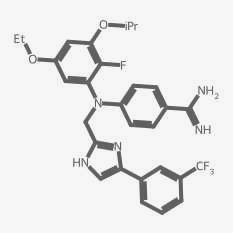 CCOc1cc(OC(C)C)c(F)c(N(Cc2nc(-c3cccc(C(F)(F)F)c3)c[nH]2)c2ccc(C(=N)N)cc2)c1